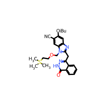 CC(C)COc1cc2nc(Cc3n[nH]c(=O)c4ccccc34)n(COCCS(C)(C)C)c2cc1C#N